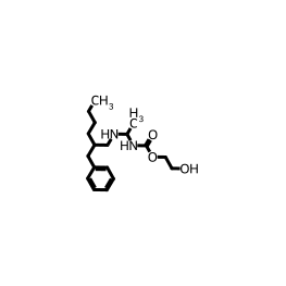 CCCCC(CNC(C)NC(=O)OCCO)Cc1ccccc1